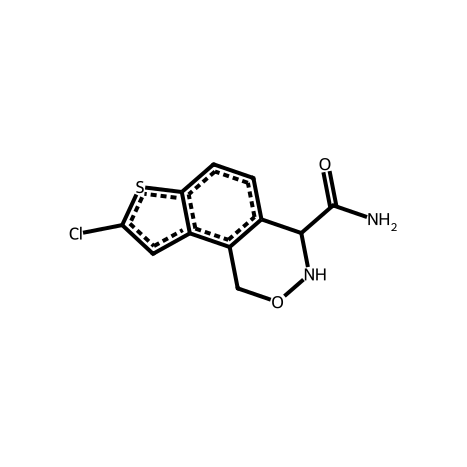 NC(=O)C1NOCc2c1ccc1sc(Cl)cc21